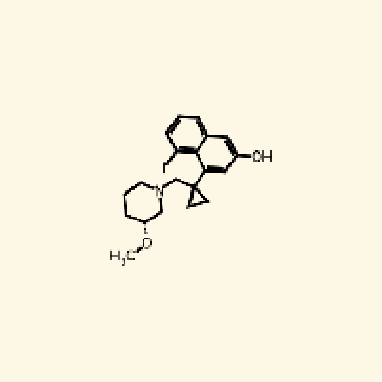 CO[C@@H]1CCCN(CC2(c3cc(O)cc4cccc(I)c34)CC2)C1